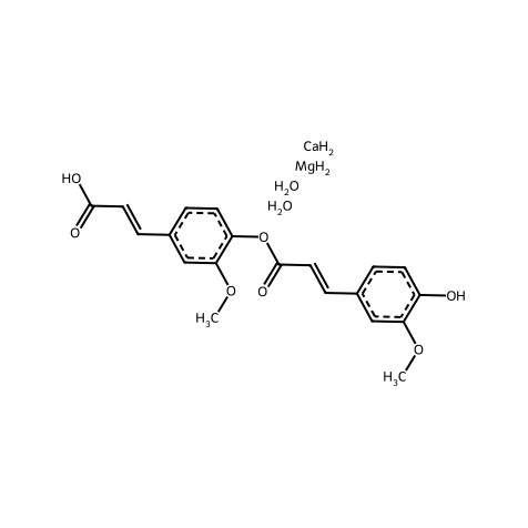 COc1cc(C=CC(=O)Oc2ccc(C=CC(=O)O)cc2OC)ccc1O.O.O.[CaH2].[MgH2]